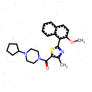 COc1ccc2ccccc2c1-c1nc(C)c(C(=O)N2CCN(C3CCCC3)CC2)s1